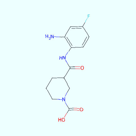 Nc1cc(F)ccc1NC(=O)C1CCCN(C(=O)O)C1